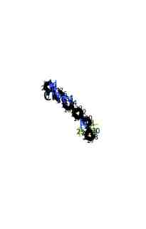 N#Cc1cccnc1N1CCN(c2ccc(-c3ccc(C4CCC(c5c(F)cccc5F)=N4)cc3)cn2)CC1